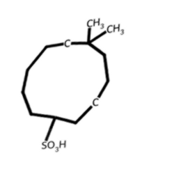 CC1(C)CCCCCC(S(=O)(=O)O)CCCC1